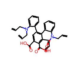 C=CCN(CC=C)c1ccccc1-c1cc(C(=O)O)c(C(=O)O)c(C=O)c1-c1ccccc1N(CC=C)CC=C